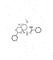 CO[C@H]1O[C@@H]2COC(c3ccccc3)O[C@H]2[C@@H](O)[C@H]1NC(=O)c1ccccc1